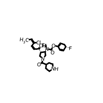 C=C(/C=C\C(Cl)=C/C)[C@H]1CN(C(=O)C2CCNCC2)C[C@@H]1N(CC)C(=O)OC1=CC[C@H](F)C=C1